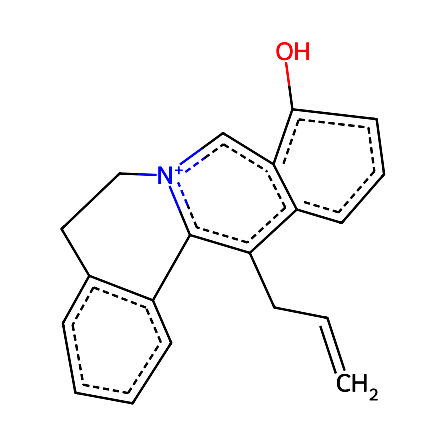 C=CCc1c2[n+](cc3c(O)cccc13)CCc1ccccc1-2